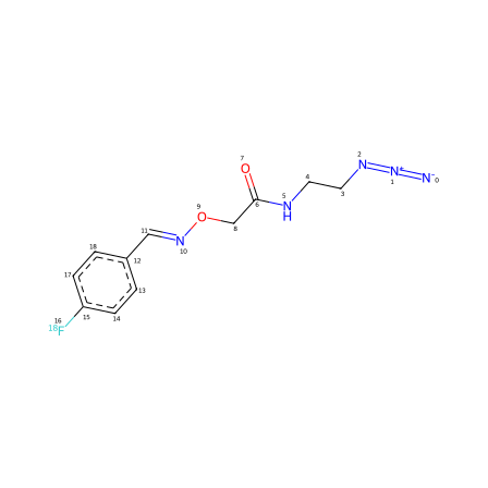 [N-]=[N+]=NCCNC(=O)CO/N=C/c1ccc([18F])cc1